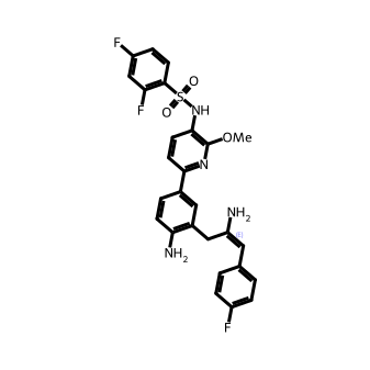 COc1nc(-c2ccc(N)c(C/C(N)=C\c3ccc(F)cc3)c2)ccc1NS(=O)(=O)c1ccc(F)cc1F